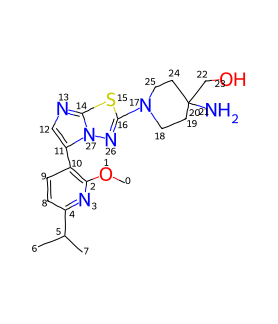 COc1nc(C(C)C)ccc1-c1cnc2sc(N3CCC(N)(CO)CC3)nn12